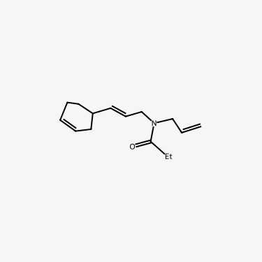 C=CCN(C/C=C/C1CC=CCC1)C(=O)CC